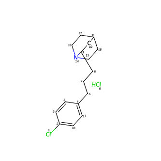 Cl.Clc1ccc(CCCC2CC3CCN2CC3)cc1